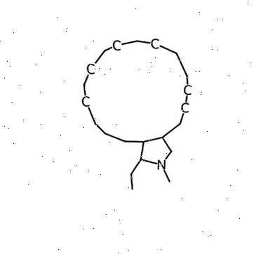 CCC1C2CCCCCCCCCCCCCCCC2CN1C